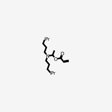 C=CC(=O)OC(C)N(CCCC(C)C)CCCC(C)C